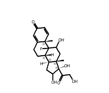 C[C@]12C=CC(=O)C=C1CC[C@H]1[C@@H]3CC(O)[C@](O)(C(=O)CO)[C@@]3(C)CC(O)C12F